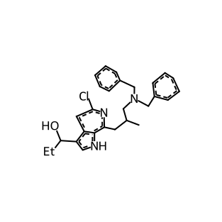 CCC(O)c1c[nH]c2c(CC(C)CN(Cc3ccccc3)Cc3ccccc3)nc(Cl)cc12